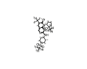 [2H]C(F)(F)c1cc2cnc(NC3CCN(S(=O)(=O)C([2H])([2H])[2H])CC3)nc2n([C@H]2CCC[C@@]2(O)C([2H])([2H])[2H])c1=O